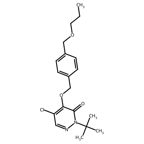 CCCOCc1ccc(COc2c(Cl)cnn(C(C)(C)C)c2=O)cc1